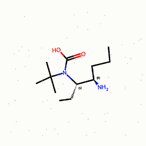 CCC[C@@H](N)[C@H](CC)N(C(=O)O)C(C)(C)C